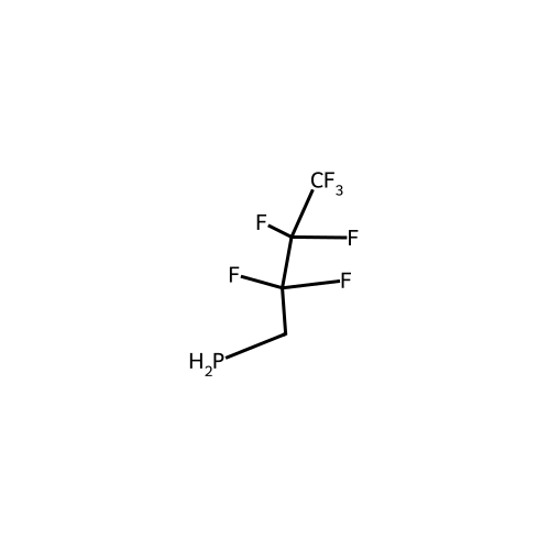 FC(F)(F)C(F)(F)C(F)(F)CP